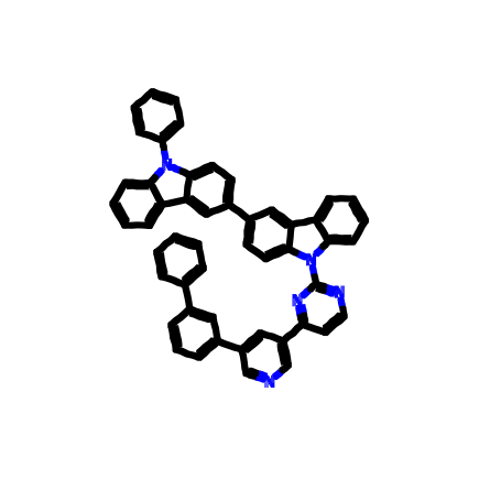 c1ccc(-c2cccc(-c3cncc(-c4ccnc(-n5c6ccccc6c6cc(-c7ccc8c(c7)c7ccccc7n8-c7ccccc7)ccc65)n4)c3)c2)cc1